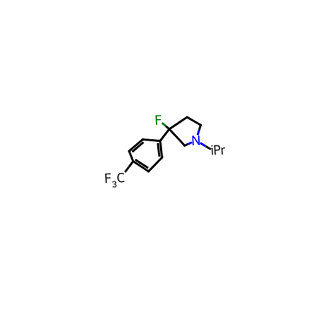 CC(C)N1CCC(F)(c2ccc(C(F)(F)F)cc2)C1